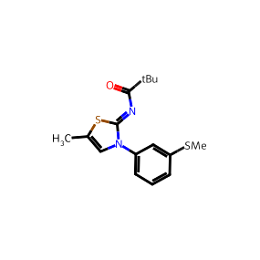 CSc1cccc(-n2cc(C)sc2=NC(=O)C(C)(C)C)c1